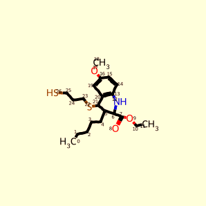 CCCCCC1C(C(=O)OCC)Nc2ccc(OC)cc2C1SCCCS